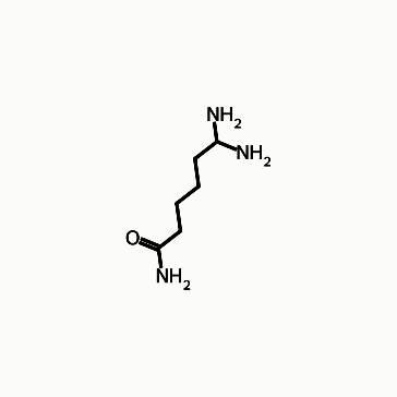 NC(=O)CCCCC(N)N